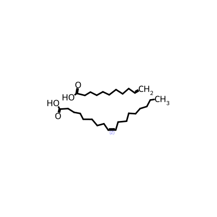 C=CCCCCCCCCC(=O)O.CCCCCCCC/C=C\CCCCCCCC(=O)O